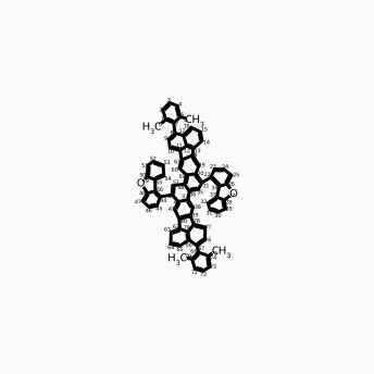 Cc1cccc(C)c1-c1ccc2c3c(cccc13)-c1cc3c(-c4cccc5oc6ccccc6c45)cc4c5cc6c(cc5c(-c5cccc7oc8ccccc8c57)cc4c3cc1-2)-c1cccc2c(-c3c(C)cccc3C)ccc-6c12